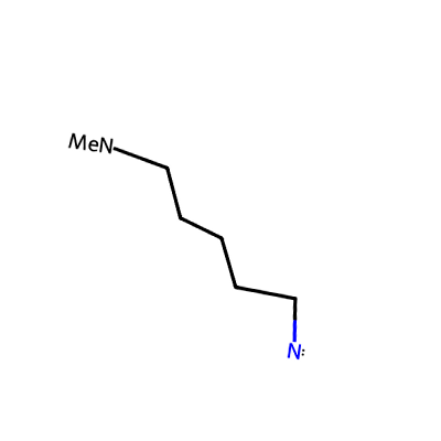 CNCCCCC[N]